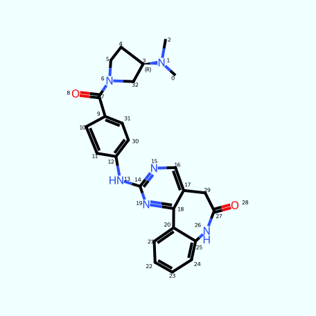 CN(C)[C@@H]1CCN(C(=O)c2ccc(Nc3ncc4c(n3)-c3ccccc3NC(=O)C4)cc2)C1